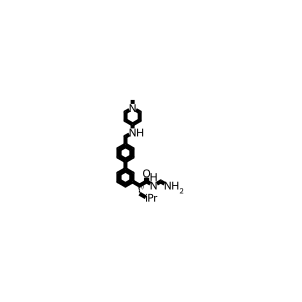 CC(C)C[C@@H](C(=O)NCN)c1cccc(-c2ccc(CNC3CCN(C)CC3)cc2)c1